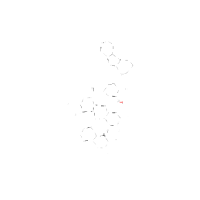 [2H]c1c([2H])c(-c2c3c([2H])c([2H])c([2H])c([2H])c3c(-c3c([2H])c([2H])c([2H])c4c([2H])c([2H])c([2H])c([2H])c34)c3c([2H])c([2H])c([2H])c([2H])c23)c([2H])c([2H])c1-c1cccc2c1oc1ccccc12